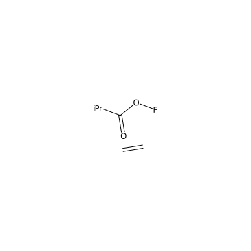 C=C.CC(C)C(=O)OF